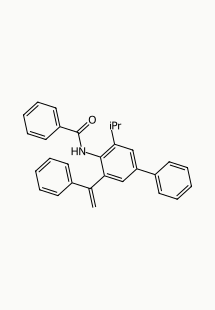 C=C(c1ccccc1)c1cc(-c2ccccc2)cc(C(C)C)c1NC(=O)c1ccccc1